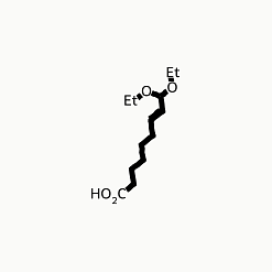 CCOC(C=CCCCCCC(=O)O)OCC